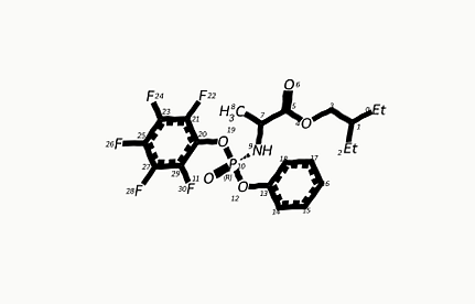 CCC(CC)COC(=O)C(C)N[P@@](=O)(Oc1ccccc1)Oc1c(F)c(F)c(F)c(F)c1F